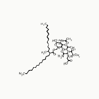 CCCCCCCCCCCCCCC(C(=O)OC[C@H]1O[C@H](O)[C@H](NC(C)=O)[C@@H](OC(C)CN(C(=O)[C@H](C)N)[C@H](CCC(=O)O)C(N)=O)[C@@H]1O)C(C)CCCCCCCCCCCC